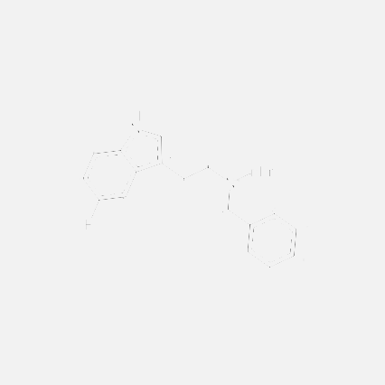 CCCN(CCc1c[nH]c2ccc(F)cc12)Cc1ccccc1